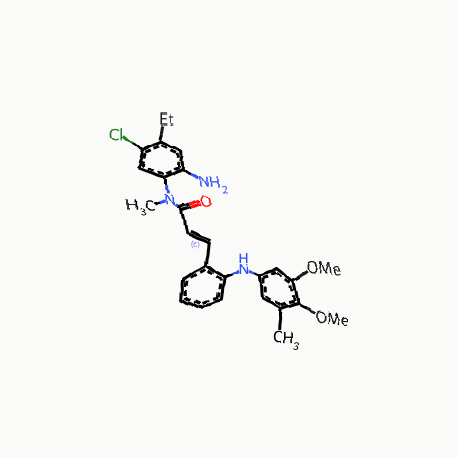 CCc1cc(N)c(N(C)C(=O)/C=C/c2ccccc2Nc2cc(C)c(OC)c(OC)c2)cc1Cl